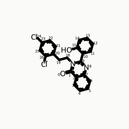 O=c1c2ccccc2nc(-c2ccccc2O)n1CCc1ccc(Cl)cc1Cl